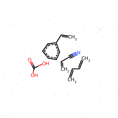 C=CC#N.C=CC=C.C=Cc1ccccc1.O=C(O)O